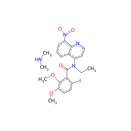 CCN(C(=O)c1c(I)ccc(OC)c1OC)c1ccnc2c([N+](=O)[O-])cccc12.CNC